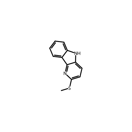 CSc1ccc2[nH]c3ccccc3c2n1